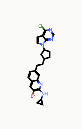 Clc1ncnc2c1ccn2C1CCC(CCc2ccc3cc(Br)c(NC4CC4)nc3c2)C1